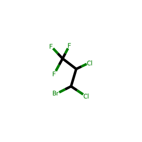 FC(F)(F)C(Cl)C(Cl)Br